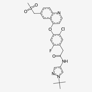 CC(C)(C)n1cc(NC(=O)Cc2cc(Cl)c(Oc3ccnc4ccc(CS(C)(=O)=O)cc34)cc2F)cn1